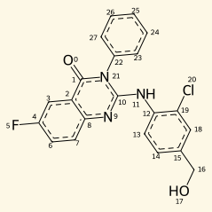 O=c1c2cc(F)ccc2nc(Nc2ccc(CO)cc2Cl)n1-c1ccccc1